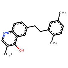 COc1ccc(OC)c(CCc2ccc3ncc(C(=O)O)c(O)c3c2)c1